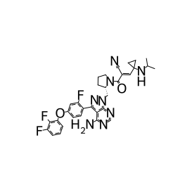 CC(C)NC1(C=C(C#N)C(=O)N2CCC[C@H]2Cn2nc(-c3ccc(Oc4cccc(F)c4F)cc3F)c3c(N)ncnc32)CC1